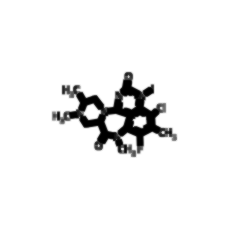 Cc1c(F)c2c3c(nc(=O)n(I)c3c1Cl)N1CC(C)N(C)CC1C(=O)N2C